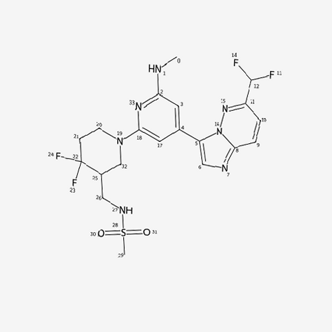 CNc1cc(-c2cnc3ccc(C(F)F)nn23)cc(N2CCC(F)(F)C(CNS(C)(=O)=O)C2)n1